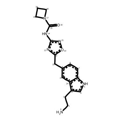 NCCc1c[nH]c2ccc(Cc3nc(NC(=O)N4CCC4)no3)cc12